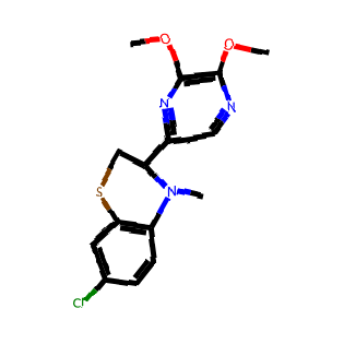 COc1ncc(C2CSc3cc(Cl)ccc3N2C)nc1OC